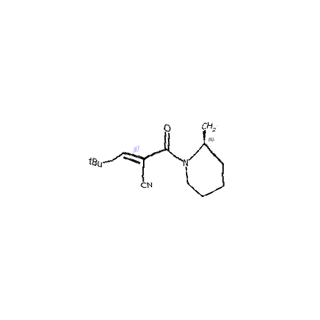 [CH2][C@H]1CCCCN1C(=O)/C(C#N)=C/C(C)(C)C